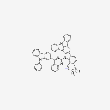 C#Cc1ccc2c3cc4c5ccccc5n5c6ccccc6c(c3n(-c3nc(-c6ccc7c8ccccc8n(-c8ccccc8)c7c6)c6ccccc6n3)c2c1/C=C\C)c45